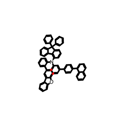 c1ccc(C2(c3ccccc3)c3ccccc3-c3c(N(c4cccc(-c5ccc(-c6cccc7ccccc67)cc5)c4)c4ccccc4-c4ccc5oc6ccccc6c5c4)cccc32)cc1